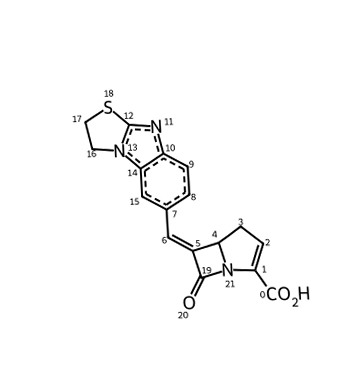 O=C(O)C1=CCC2/C(=C\c3ccc4nc5n(c4c3)CCS5)C(=O)N12